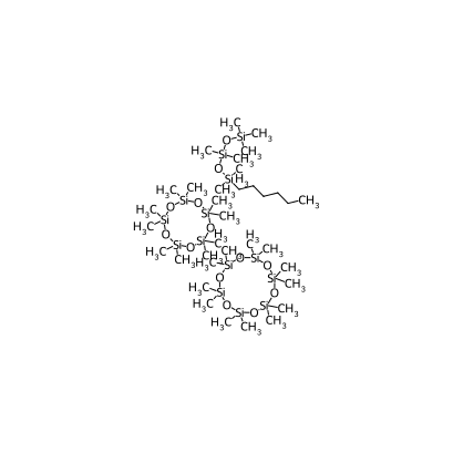 CCCCCC[Si](C)(C)O[Si](C)(C)O[Si](C)(C)C.C[Si]1(C)O[Si](C)(C)O[Si](C)(C)O[Si](C)(C)O[Si](C)(C)O1.C[Si]1(C)O[Si](C)(C)O[Si](C)(C)O[Si](C)(C)O[Si](C)(C)O[Si](C)(C)O1